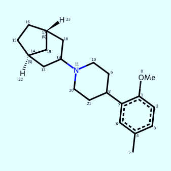 COc1ccc(C)cc1C1CCN(C2C[C@H]3CC[C@H](C2)C3)CC1